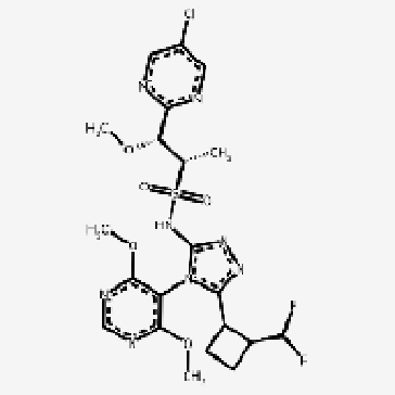 COc1ncnc(OC)c1-n1c(NS(=O)(=O)[C@@H](C)[C@H](OC)c2ncc(Cl)cn2)nnc1C1CC[C@@H]1C(F)F